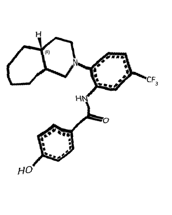 O=C(Nc1cc(C(F)(F)F)ccc1N1CC[C@H]2CCCCC2C1)c1ccc(O)cc1